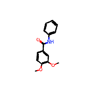 COc1ccc(C(=O)Nc2ccccc2)cc1OC